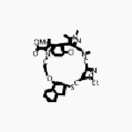 CCn1nc2cc1CSc1cc(c3ccccc3c1)OCCCn1c(C(=O)OC)c(C)c3c(c(Cl)ccc31)-c1c(nn(C)c1C)CN(C)C2